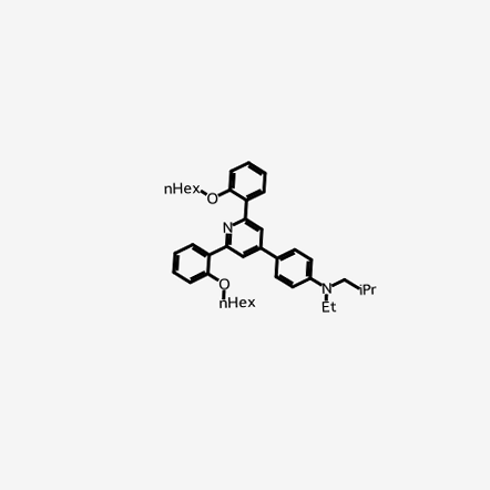 CCCCCCOc1ccccc1-c1cc(-c2ccc(N(CC)CC(C)C)cc2)cc(-c2ccccc2OCCCCCC)n1